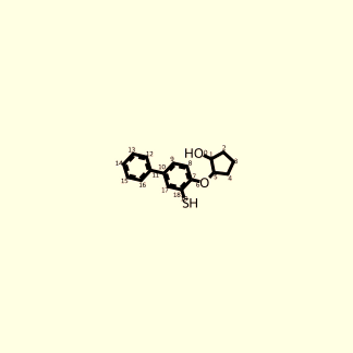 OC1CCCC1Oc1ccc(-c2ccccc2)cc1S